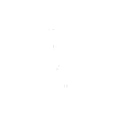 C#C[SiH]1C[SiH](C#C)C1